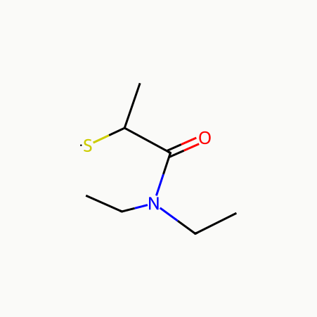 CCN(CC)C(=O)C(C)[S]